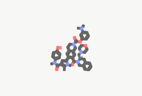 Cc1c(C(=O)N(C)c2ccc(O)cc2)cc(-c2cc3c(cc2C(=O)N2Cc4ccccc4C[C@H]2CN2CCOCC2)CN(C(=O)Oc2cccc(N(C)C)c2)CC3)n1C